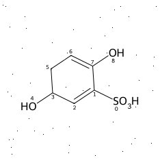 O=S(=O)(O)C1=CC(O)CC=C1O